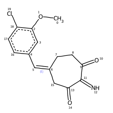 COc1cc(/C=C2\CCC(=O)C(=N)C(=O)C2)ccc1Cl